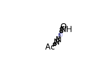 CC(=O)c1ccc(N2CCN(CC/C=C/c3ccc4c(c3)CCC(=O)N4)CC2)cc1